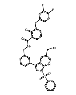 O=C(NCc1cccc(-c2cn(S(=O)(=O)c3ccccc3)c3ncc(CO)cc23)c1)c1cccn(Cc2ccc(F)c(F)c2)c1=O